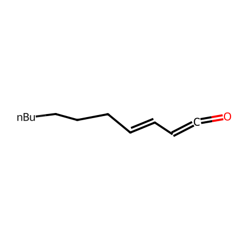 CCCCCCCC=CC=C=O